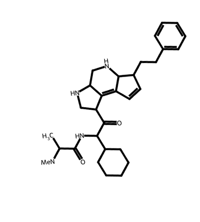 CNC(C)C(=O)NC(C(=O)C1CNC2CNC3C(=C21)C=CC3CCc1ccccc1)C1CCCCC1